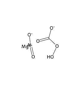 O=C([O-])OO.[Mg+2].[O]=[Al][O-]